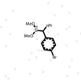 CCCC(c1ccc(Br)cc1)[SiH](OC)OC